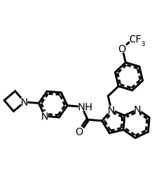 O=C(Nc1ccc(N2CCC2)nc1)c1cc2cccnc2n1Cc1cccc(OC(F)(F)F)c1